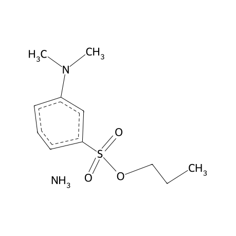 CCCOS(=O)(=O)c1cccc(N(C)C)c1.N